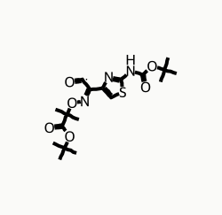 CC(C)(C)OC(=O)Nc1nc(/C([C]=O)=N/OC(C)(C)C(=O)OC(C)(C)C)cs1